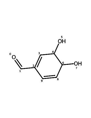 O=CC1=CC(O)C(O)C=C1